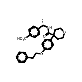 C[C@H](NC(=O)C1(c2ccc(OCCc3ccccc3)cc2)CCOCC1)c1ccc(C(=O)O)cc1